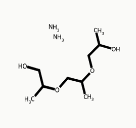 CC(O)COC(C)COC(C)CO.N.N